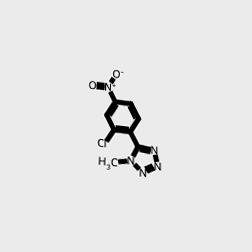 Cn1nnnc1-c1ccc([N+](=O)[O-])cc1Cl